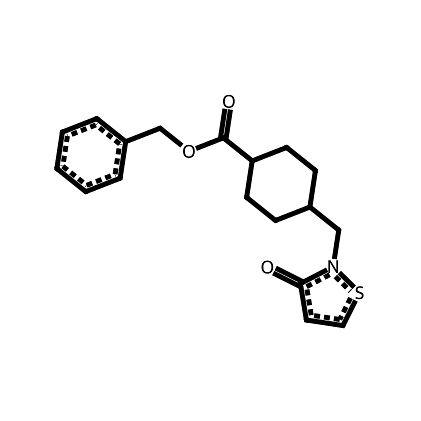 O=C(OCc1ccccc1)C1CCC(Cn2sccc2=O)CC1